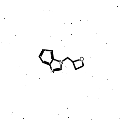 c1ccc2c(c1)ncn2CC1CCO1